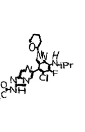 CC(C)Nc1c(F)c(Cl)c(-c2cn3cc(NC(=O)C(F)(F)F)nc3cn2)c2cn(C3CCCCO3)nc12